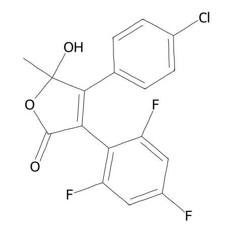 CC1(O)OC(=O)C(c2c(F)cc(F)cc2F)=C1c1ccc(Cl)cc1